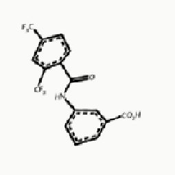 O=C(O)c1cccc(NC(=O)c2ccc(C(F)(F)F)cc2C(F)(F)F)c1